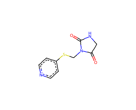 O=C1CNC(=O)N1CSc1ccncc1